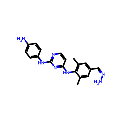 Cc1cc(/C=N\N)cc(C)c1Nc1ccnc(Nc2ccc(N)cc2)n1